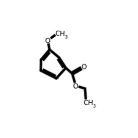 CCOC(=O)c1[c]ccc(OC)c1